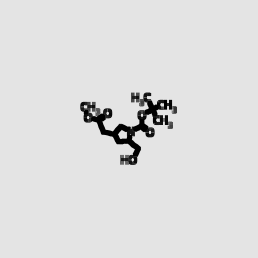 COC(=O)CC1CC(CO)N(C(=O)OC(C)(C)C)C1